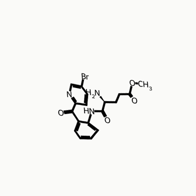 COC(=O)CC[C@H](N)C(=O)Nc1ccccc1C(=O)c1ccc(Br)cn1